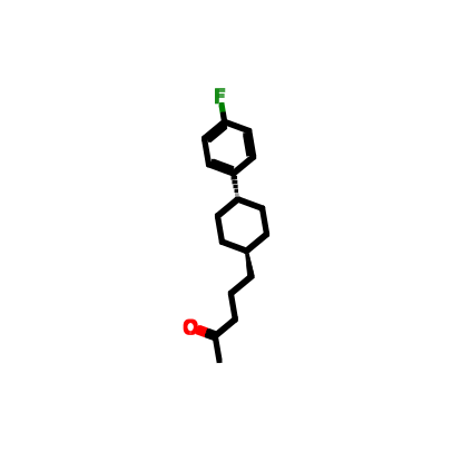 CC(=O)CCC[C@H]1CC[C@H](c2ccc(F)cc2)CC1